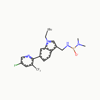 CN(C)[S+]([O-])NCc1cn(CC(C)(C)C)c2cc(-c3ncc(F)cc3C(F)(F)F)ccc12